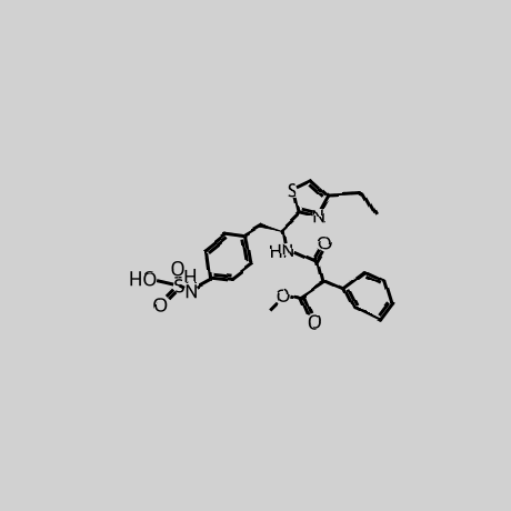 CCc1csc([C@H](Cc2ccc(NS(=O)(=O)O)cc2)NC(=O)C(C(=O)OC)c2ccccc2)n1